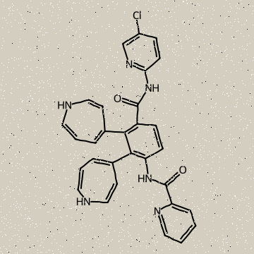 O=C(Nc1ccc(C(=O)Nc2ccc(Cl)cn2)c(C2=CC=CNC=C2)c1C1=CC=CNC=C1)c1ccccn1